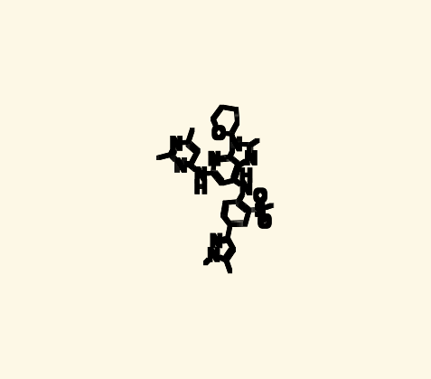 Cc1cc(Nc2cc(Nc3ccc(-c4cc(C)n(C)n4)cc3S(C)(=O)=O)c3nc(C)n(C4CCCCO4)c3n2)nc(C)n1